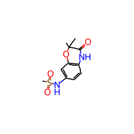 CC1(C)Oc2cc(NS(C)(=O)=O)ccc2NC1=O